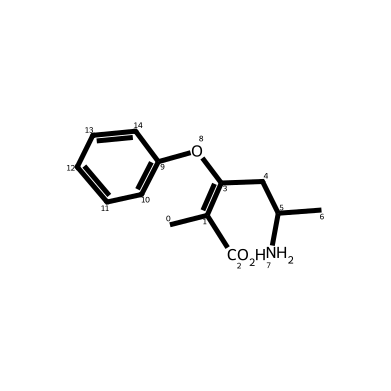 CC(C(=O)O)=C(CC(C)N)Oc1ccccc1